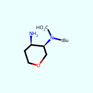 CC(C)(C)N(C(=O)O)[C@H]1COCC[C@H]1N